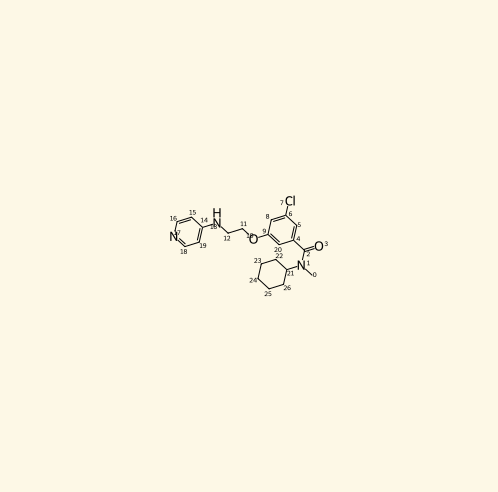 CN(C(=O)c1cc(Cl)cc(OCCNc2ccncc2)c1)C1CCCCC1